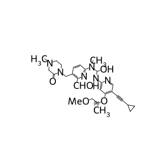 COC[C@@H](C)Oc1cc(NC(O)N(C)c2ccc(CN3CCN(C)CC3=O)c(C=O)n2)ncc1C#CC1CC1